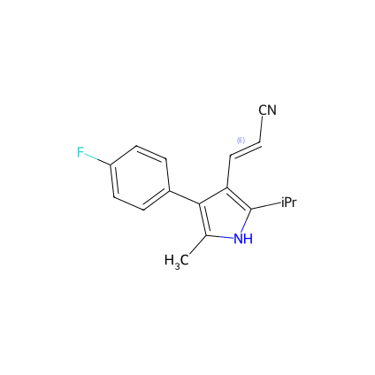 Cc1[nH]c(C(C)C)c(/C=C/C#N)c1-c1ccc(F)cc1